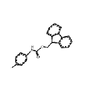 [CH2]c1ccc(NC(=O)OCC2c3ccccc3-c3ccccc32)cc1